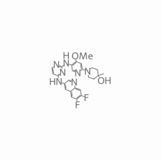 COc1cc(N2CCC(C)(O)CC2)ncc1Nc1nccc(Nc2cnc3cc(F)c(F)cc3c2)n1